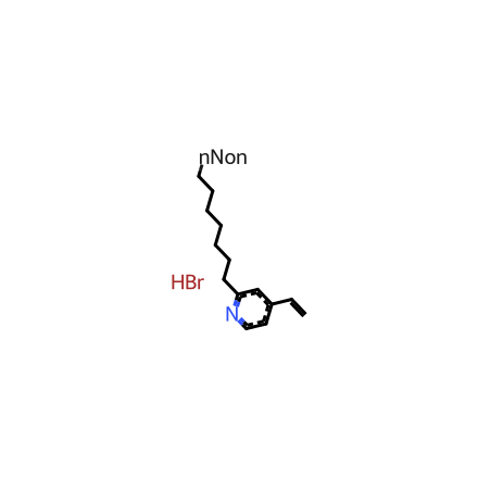 Br.C=Cc1ccnc(CCCCCCCCCCCCCCCC)c1